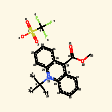 O=S(=O)([O-])C(F)(F)F.[2H]C([2H])([2H])[n+]1c2ccccc2c(C(=O)OC)c2ccccc21